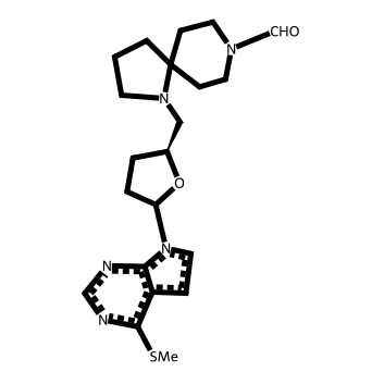 CSc1ncnc2c1ccn2C1CC[C@@H](CN2CCCC23CCN(C=O)CC3)O1